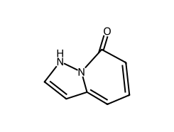 O=c1cccc2cc[nH]n12